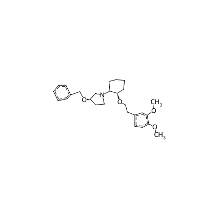 COc1ccc(CCO[C@@H]2CCCCC2N2CC[C@@H](OCc3ccccc3)C2)cc1OC